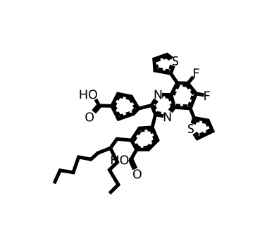 CCCCCCC(CCCC)Cc1cc(-c2nc3c(-c4cccs4)c(F)c(F)c(-c4cccs4)c3nc2-c2ccc(C(=O)O)cc2)ccc1C(=O)O